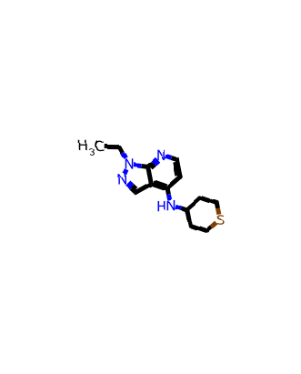 CCn1ncc2c(NC3CCSCC3)ccnc21